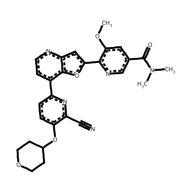 COc1cc(C(=O)N(C)C)cnc1-c1cc2nccc(-c3ccc(OC4CCOCC4)c(C#N)n3)c2o1